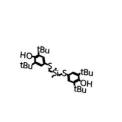 CC(C)(C)c1cc(SC[Si](C)(C)CSc2cc(C(C)(C)C)c(O)c(C(C)(C)C)c2)cc(C(C)(C)C)c1O